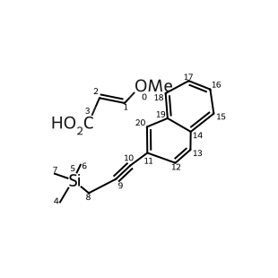 COC=CC(=O)O.C[Si](C)(C)CC#Cc1ccc2ccccc2c1